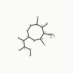 CCC(C)C(C)C1CCC(C)C(C)C(N)C(C)C1